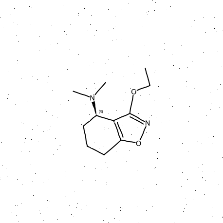 CCOc1noc2c1[C@H](N(C)C)CCC2